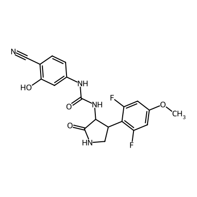 COc1cc(F)c(C2CNC(=O)C2NC(=O)Nc2ccc(C#N)c(O)c2)c(F)c1